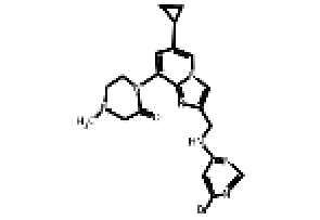 CN1CCN(c2cc(C3CC3)cn3cc(CNc4cc(Br)ncn4)nc23)C(=O)C1